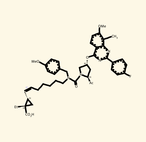 CC[C@]1(C(=O)O)C[C@H]1/C=C\CCCCCN(Cc1ccc(OC)cc1)C(=O)N1C[C@H](Oc2nc(-c3ccc(F)cc3)nc3c(C)c(OC)ccc23)C[C@H]1C(C)=O